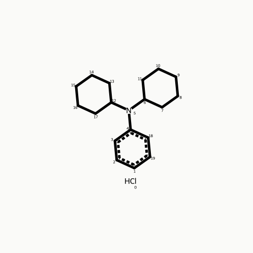 Cl.c1ccc(N(C2CCCCC2)C2CCCCC2)cc1